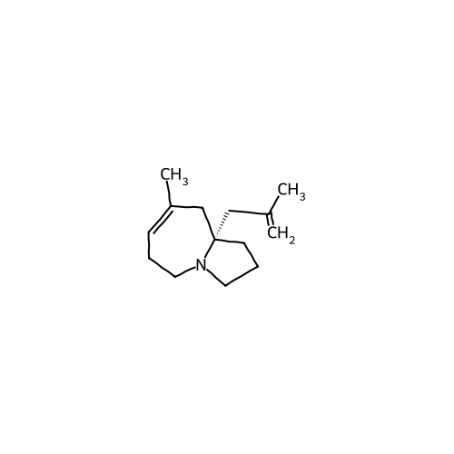 C=C(C)C[C@]12CCCN1CCC=C(C)C2